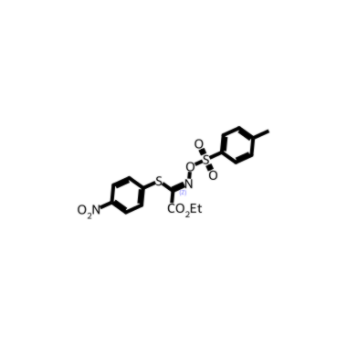 CCOC(=O)/C(=N/OS(=O)(=O)c1ccc(C)cc1)Sc1ccc([N+](=O)[O-])cc1